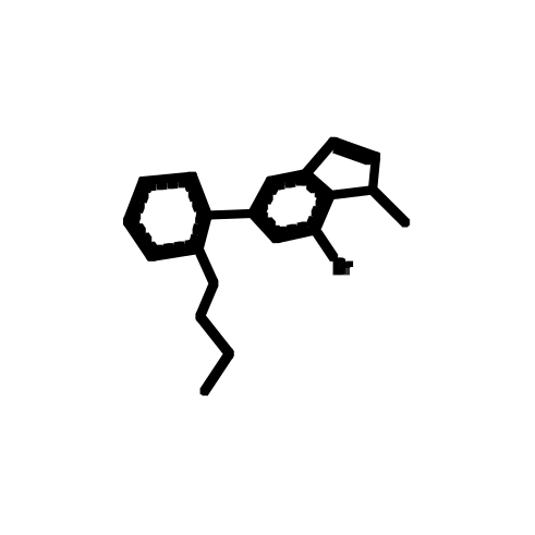 CCCCc1ccccc1-c1cc(Br)c2c(c1)C=CC2C